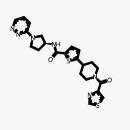 O=C(N[C@H]1CCN(c2cccnn2)C1)c1ccc(C2CCN(C(=O)c3cscn3)CC2)s1